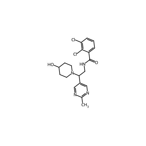 Cc1ncc(C(CNC(=O)c2cccc(Cl)c2Cl)N2CCC(O)CC2)cn1